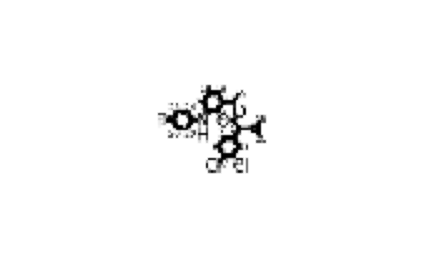 CC(OC(=O)C(c1ccc(Cl)c(Cl)c1)C1CC1)c1cccc(Nc2ccc(F)cc2)c1